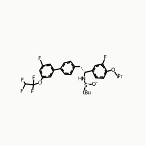 CC(C)Oc1ccc([C@@H](Cc2ccc(-c3cc(F)cc(OC(F)(F)C(F)F)c3)cc2)N[S+]([O-])C(C)(C)C)cc1F